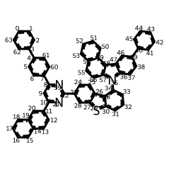 c1ccc(-c2ccc(-c3cc(-c4ccc5ccccc5c4)nc(-c4ccc5c(c4)sc4cccc(-n6c7ccc(-c8ccccc8)cc7c7c8ccccc8ccc76)c45)n3)cc2)cc1